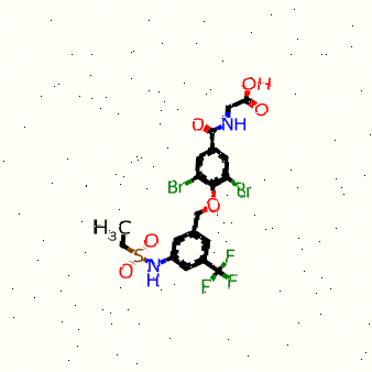 CCS(=O)(=O)Nc1cc(COc2c(Br)cc(C(=O)NCC(=O)O)cc2Br)cc(C(F)(F)F)c1